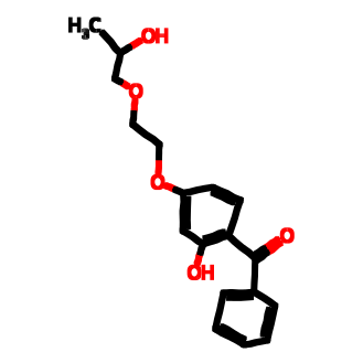 CC(O)COCCOc1ccc(C(=O)c2ccccc2)c(O)c1